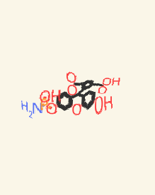 NP(O)Oc1ccc2c(c1)Oc1cc(O)ccc1C21OC(=O)c2ccc(C(=O)O)cc21